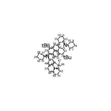 CC(C)(C)c1cc(N(c2ccccc2)c2ccccc2)c2ccc3c(C(C)(C)C)cc(N(c4ccccc4)c4cc5c6c(ccc7cccc(c76)C5(C)C)c4)c4ccc1c2c43